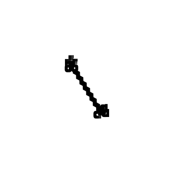 O=C(OCCCCCCCCCCCCCCC[Si](Cl)(Cl)Cl)C(F)(F)F